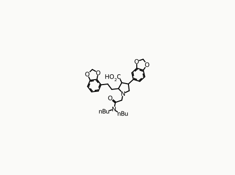 CCCCN(CCCC)C(=O)CN1CC(c2ccc3c(c2)OCO3)C(C(=O)O)C1CCc1cccc2c1OCO2